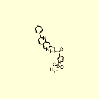 CS(=O)(=O)n1ccc(C(=O)NCc2cc3nc(-c4ccccc4)ccc3cn2)c1